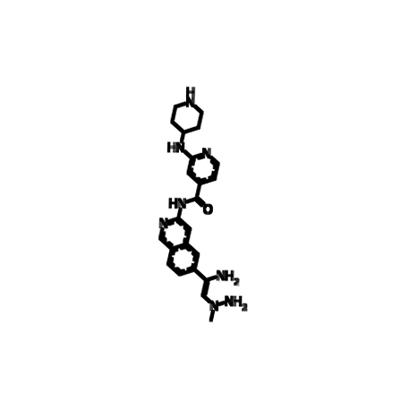 CN(N)/C=C(\N)c1ccc2cnc(NC(=O)c3ccnc(NC4CCNCC4)c3)cc2c1